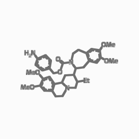 CCC1CN2CCc3cc(OC)c(OC)cc3C2CC1C1Cc2cc(OC)c(OC)cc2CCN1C(=O)OCc1ccc(N)cc1